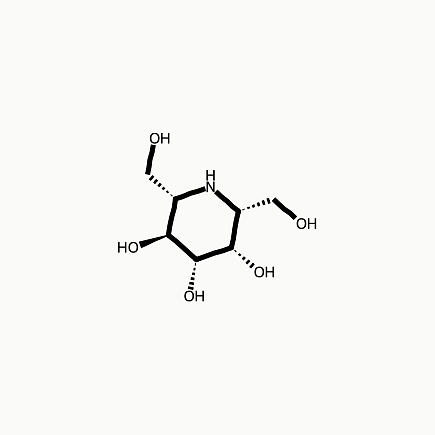 OC[C@@H]1N[C@H](CO)[C@H](O)[C@H](O)[C@H]1O